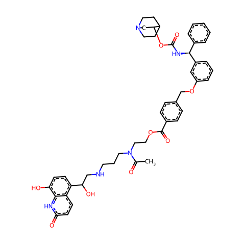 CC(=O)N(CCCNCC(O)c1ccc(O)c2[nH]c(=O)ccc12)CCOC(=O)c1ccc(COc2cccc([C@@H](NC(=O)OC3CN4CCC3CC4)c3ccccc3)c2)cc1